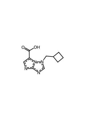 O=C(O)c1cnc2ncn(CC3CCC3)n12